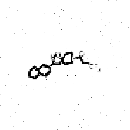 O=C(CCC(F)(F)F)N1CCC2(CC1)CC(c1ccc3ccccc3c1)=NO2